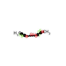 CCOc1ccc(-c2ccc(OCCCCC(O)CCCCOc3ccc(-c4ccc(C)c(F)c4F)c(F)c3)cc2F)c(F)c1F